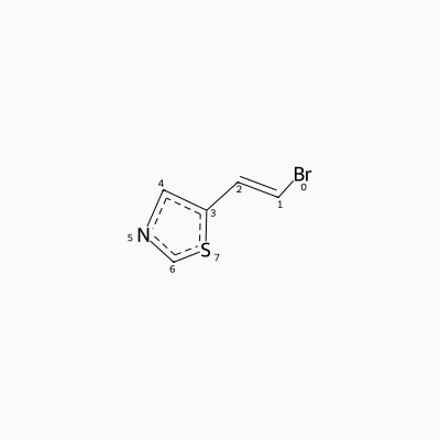 BrC=Cc1cncs1